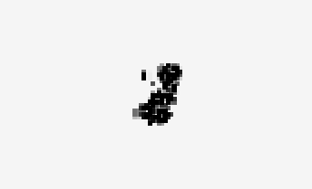 Cc1ccc(C(=O)N2CCN(c3cccnc3S(N)(=O)=O)CC2)c(C)c1N(c1ccccc1C#N)C1CCNCC1